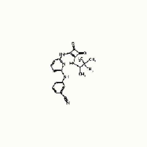 CC(Nc1c(Nc2ccnc(Nc3cccc(C#N)c3)n2)c(=O)c1=O)C(C)(C)C